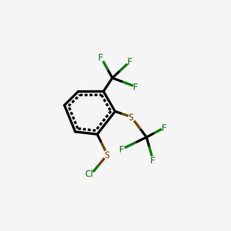 FC(F)(F)Sc1c(SCl)cccc1C(F)(F)F